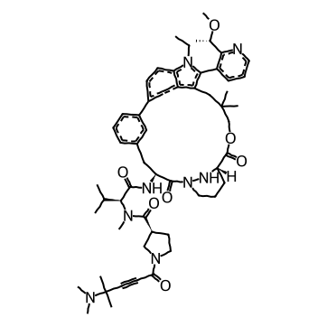 CCn1c(-c2cccnc2[C@H](C)OC)c2c3cc(ccc31)-c1cccc(c1)C[C@H](NC(=O)[C@H](C(C)C)N(C)C(=O)[C@H]1CCN(C(=O)C#CC(C)(C)N(C)C)C1)C(=O)N1CCC[C@H](N1)C(=O)OCC(C)(C)C2